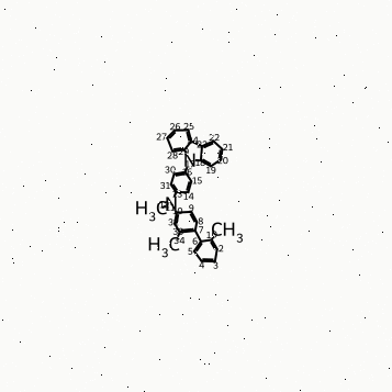 Cc1ccccc1-c1ccc(N(C)c2ccc(-n3c4ccccc4c4ccccc43)cc2)cc1C